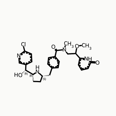 COC(CN(C)C(=O)c1ccc(C[C@@H]2CC[C@H]([C@H](O)c3ccc(Cl)nc3)N2)cc1)c1cccc(=O)[nH]1